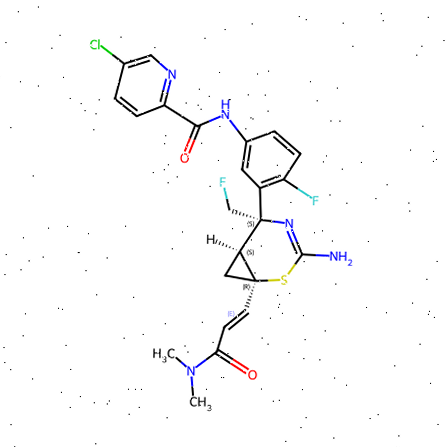 CN(C)C(=O)/C=C/[C@]12C[C@H]1[C@@](CF)(c1cc(NC(=O)c3ccc(Cl)cn3)ccc1F)N=C(N)S2